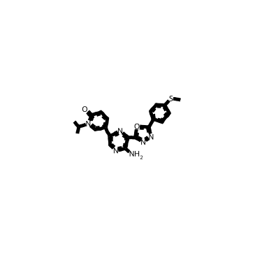 CSc1ccc(-c2nnc(-c3nc(-c4ccc(=O)n(C(C)C)c4)cnc3N)o2)cc1